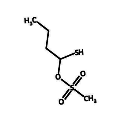 CCCC(S)OS(C)(=O)=O